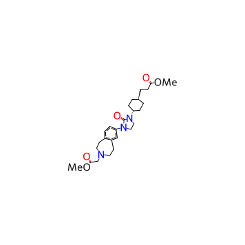 COC(=O)CC[C@H]1CC[C@H](N2CCN(c3ccc4c(c3)CCN(CC(=O)OC)CC4)C2=O)CC1